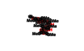 COc1cc(O)c2c(=O)cc(-c3cc(OC)c(OC)c(OC)c3)oc2c1.COc1cc(O)c2c(=O)cc(-c3cc(OC)c(OC)cc3OC)oc2c1.COc1cc(O)c2c(=O)cc(-c3ccc(OCc4ccccc4)c(OC)c3)oc2c1.COc1ccc(-c2cc(=O)c3c(O)cc(OC)cc3o2)cc1